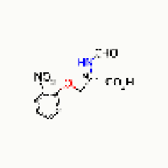 O=CN[C@@H](COc1ccccc1[N+](=O)[O-])C(=O)O